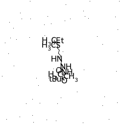 CCC(C)(C)SCCCCNCCNC(=O)NC(C)(C)C(=O)C(C)(C)C